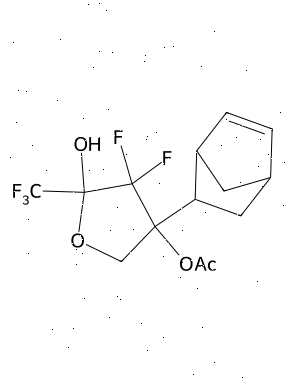 CC(=O)OC1(C2CC3C=CC2C3)COC(O)(C(F)(F)F)C1(F)F